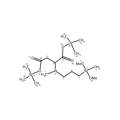 CO[Si](C)(CCCN(C)C(CC(=O)O[Si](C)(C)C)C(=O)O[Si](C)(C)C)OC